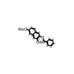 COc1ccc2cc(OCc3ccccc3)c(OC)cc2c1